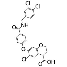 O=C(NCc1ccc(Cl)c(Cl)c1)c1ccc(Oc2cc3c(cc2Cl)C(C(=O)O)CCO3)cc1